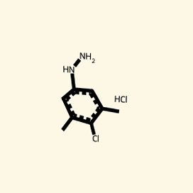 Cc1cc(NN)cc(C)c1Cl.Cl